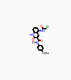 CCN(C(=O)c1cc2c(NC(=O)CBr)cccc2[nH]c1=O)c1ccc(OC)cc1